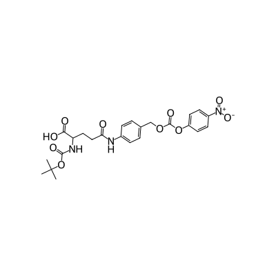 CC(C)(C)OC(=O)NC(CCC(=O)Nc1ccc(COC(=O)Oc2ccc([N+](=O)[O-])cc2)cc1)C(=O)O